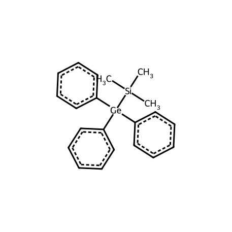 C[Si](C)(C)[Ge]([c]1ccccc1)([c]1ccccc1)[c]1ccccc1